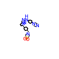 CN1CCN(c2ccc(Nc3ncc4ccc(-c5ccc(CN6CCS(=O)(=O)CC6)cc5)n4n3)cc2)CC1